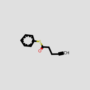 C#CCCC(=O)Sc1ccccc1